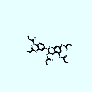 CCC(=O)Oc1cc(OC(=O)CC)c2c(c1)O[C@H](c1ccc(OC(=O)CC)c(OC(=O)CC)c1)[C@H](OC(=O)CC)C2